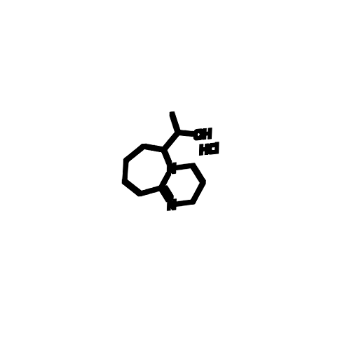 CC(O)C1CCCCC2=NCCCN21.Cl